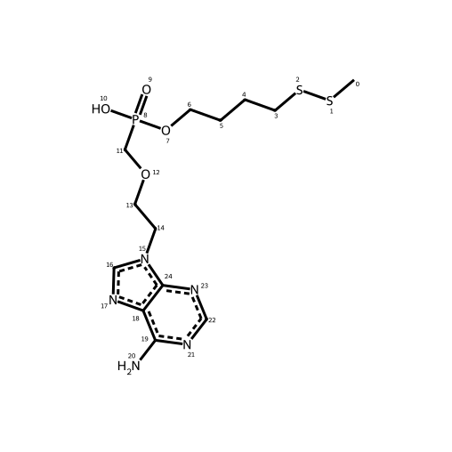 CSSCCCCOP(=O)(O)COCCn1cnc2c(N)ncnc21